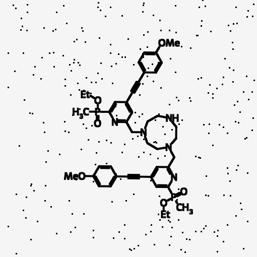 CCOP(C)(=O)c1cc(C#Cc2ccc(OC)cc2)cc(CN2CCNCCN(Cc3cc(C#Cc4ccc(OC)cc4)cc(P(C)(=O)OCC)n3)CC2)n1